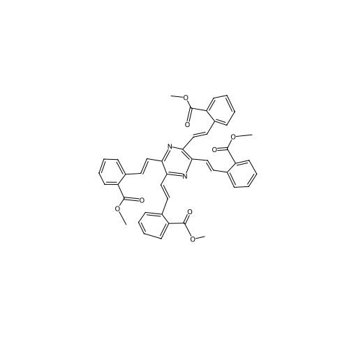 COC(=O)c1ccccc1/C=C/c1nc(/C=C/c2ccccc2C(=O)OC)c(/C=C/c2ccccc2C(=O)OC)nc1/C=C/c1ccccc1C(=O)OC